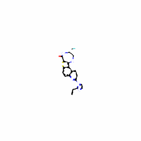 C=Cc1nccn1-c1ccc2c(ccc3sc4c(c32)NC[C@@H](CF)NC4=O)n1